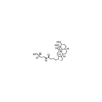 C[C@H](CCC(=O)NCCS(=O)(=O)O)[C@H]1CC[C@H]2[C@@H]3CC[C@@H]4CC[C@H](O)C(O)(O)[C@]4(C)[C@H]3CC[C@]12C